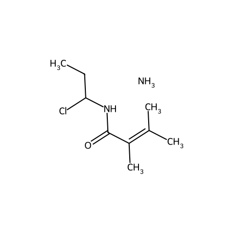 CCC(Cl)NC(=O)C(C)=C(C)C.N